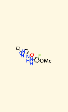 COc1ccc(NC(=O)Nc2cccn3c(C4CCC4)nnc23)cc1F